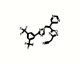 N#CCc1noc(C(=Cn2cnc(-c3cc(C(F)(F)F)cc(C(F)(F)F)c3)n2)c2cncnc2)n1